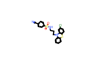 N#Cc1ccc(S(=O)(=O)NCCCN2c3ccccc3Sc3ccc(Cl)cc32)cc1